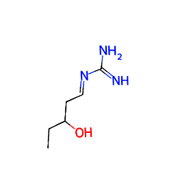 CCC(O)CC=NC(=N)N